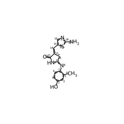 Cc1cc(O)ccc1N=C1NC(=O)C(=Cc2cnc(N)s2)S1